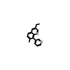 CCc1cnc2c(-c3cccnc3)c(C)ccc2c1